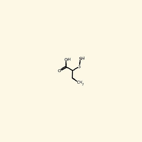 CCC(SS)C(=O)O